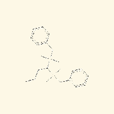 CCCC([N+](C)(C)Cc1ccccc1)[N+](C)(C)Cc1ccccc1